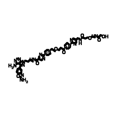 Nc1nc2cc(-c3nn(CCCCNC(=O)c4cnc(N5CCN(CCOCCC(=O)N6CCN(c7ncc(CNC(=O)CCOCCNC(=O)CO)cn7)CC6)CC5)nc4)c4ncnc(N)c34)ccc2o1